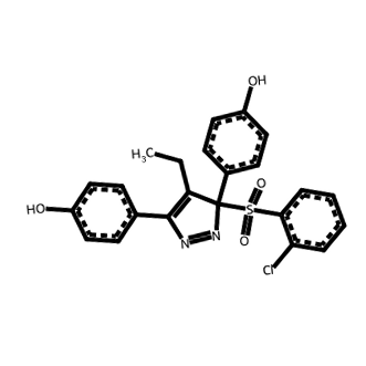 CCC1=C(c2ccc(O)cc2)N=NC1(c1ccc(O)cc1)S(=O)(=O)c1ccccc1Cl